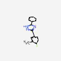 Cc1cc(-c2n[nH]c(-c3ccccc3)n2)ccc1F